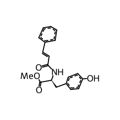 COC(=O)[C@H](Cc1ccc(O)cc1)NC(=O)C=Cc1ccccc1